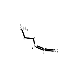 [N-]=[N+]=NCC[SiH3]